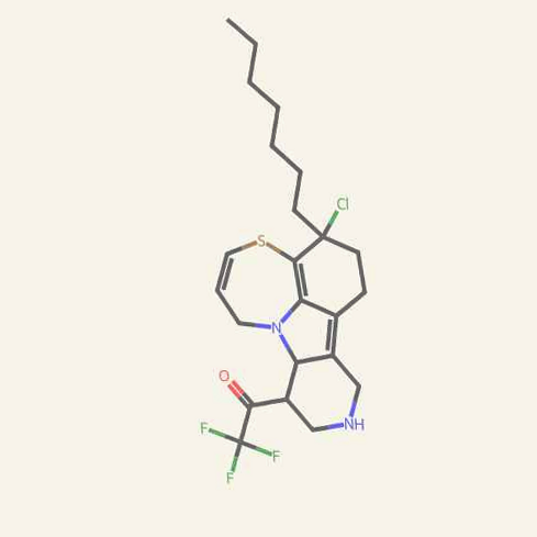 CCCCCCCC1(Cl)CCC2=C3CNCC(C(=O)C(F)(F)F)C3N3CC=CSC1=C23